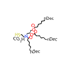 CCCCCCCCCCCCCCCC(=O)OC[C@H](CN(C(=O)CCCCCCCCCCCCCCC)[C@@H](CS)C(=O)O)OC(=O)CCCCCCCCCCCCCCC